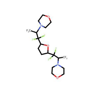 FC(F)(F)C(N1CCOCC1)C(F)(F)C1CCC(C(F)(F)C(N2CCOCC2)C(F)(F)F)O1